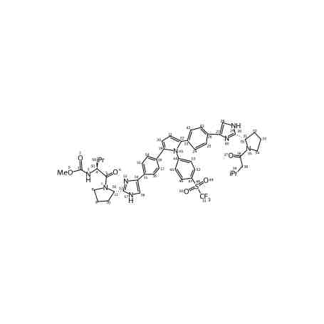 COC(=O)N[C@H](C(=O)N1CCC[C@H]1c1nc(-c2ccc(-c3ccc(-c4ccc(-c5c[nH]c([C@@H]6CCCN6C(=O)[CH]C(C)C)n5)cc4)n3-c3ccc(S(=O)(=O)C(F)(F)F)cc3)cc2)c[nH]1)C(C)C